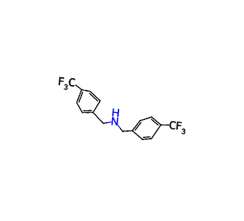 FC(F)(F)c1ccc(CNCc2ccc(C(F)(F)F)cc2)cc1